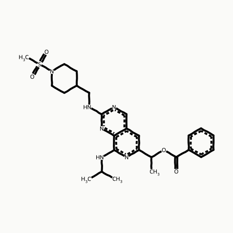 CC(C)Nc1nc(C(C)OC(=O)c2ccccc2)cc2cnc(NCC3CCN(S(C)(=O)=O)CC3)nc12